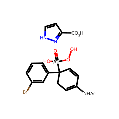 CC(=O)NC1=CCC(c2cccc(Br)c2)([As](=O)(O)OO)C=C1.O=C(O)c1cc[nH]n1